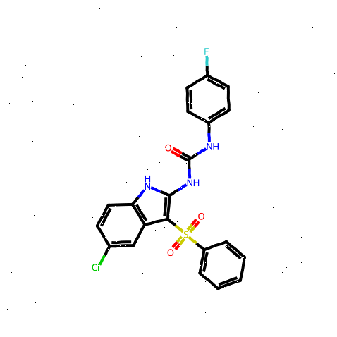 O=C(Nc1ccc(F)cc1)Nc1[nH]c2ccc(Cl)cc2c1S(=O)(=O)c1ccccc1